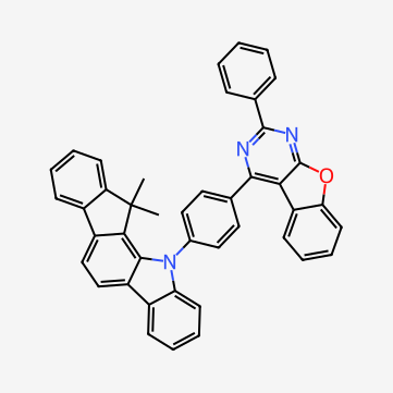 CC1(C)c2ccccc2-c2ccc3c4ccccc4n(-c4ccc(-c5nc(-c6ccccc6)nc6oc7ccccc7c56)cc4)c3c21